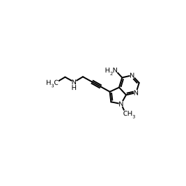 CCNCC#Cc1cn(C)c2ncnc(N)c12